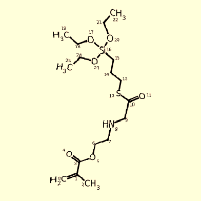 C=C(C)C(=O)OCCNCC(=O)SCCC[Si](OCC)(OCC)OCC